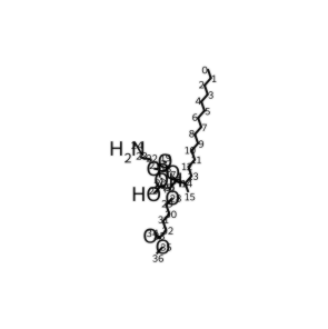 CCCCCCCCCCCCCCC(C)C(OP(=O)(O)OCCN)[C@H](CO)OCCCCC(=O)OC